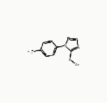 CC(=O)Sc1nnnn1-c1ccc(C)cc1